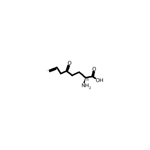 [CH]=CCC(=O)CC[C@H](N)C(=O)O